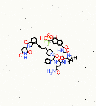 CCCC[C@H](NC(=O)c1ccc2ccc(C(F)(F)P(=O)(O)O)cc2c1)C(=O)N1C[C@@H]2C[C@@H]2[C@H]1C(=O)N[C@@H](CCC(N)=O)C(=O)N[C@H](C(=O)N1CCC(CCC#Cc2cccc3c2CN(C2CCC(=O)NC2=O)C3=O)CC1)c1ccccc1